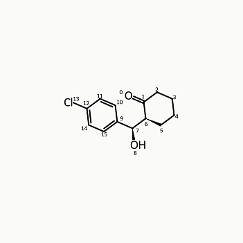 O=C1CCCC[C@H]1[C@@H](O)c1ccc(Cl)cc1